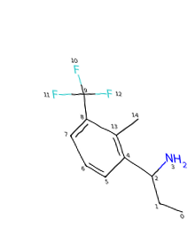 CCC(N)c1cccc(C(F)(F)F)c1C